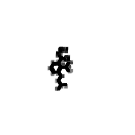 CC(C)CCc1cccc(C(Cl)=NO)c1C(C)C